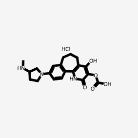 CNC1CCN(c2ccc3c(c2)CCCc2c-3[nH]c(=O)c(OC(=O)O)c2O)C1.Cl